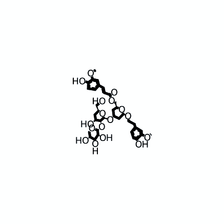 COc1cc(/C=C/C(=O)OC[C@@H]2C[C@H](O[C@@H]3O[C@H](CO)C[C@H](O)[C@H]3O[C@@H]3OC[C@@H](O)[C@H](O)[C@H]3O)C[C@H](OCCc3ccc(O)c(OC)c3)O2)ccc1O